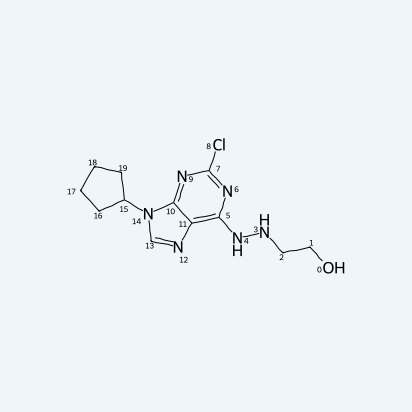 OCCNNc1nc(Cl)nc2c1ncn2C1CCCC1